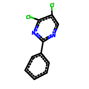 Clc1cnc(-c2ccccc2)nc1Cl